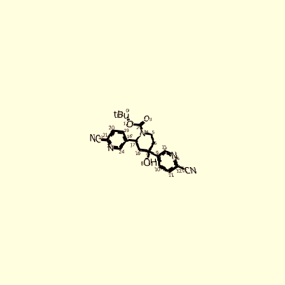 CC(C)(C)OC(=O)N1CCC(O)(c2ccc(C#N)nc2)CC1c1ccc(C#N)nc1